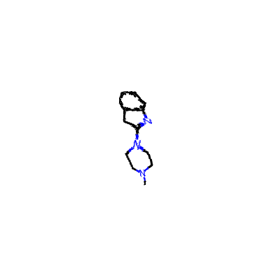 CN1CCN(C2=Nc3ccccc3C2)CC1